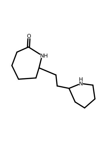 O=C1CCCCC(CCC2CCCCN2)N1